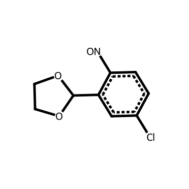 O=Nc1ccc(Cl)cc1C1OCCO1